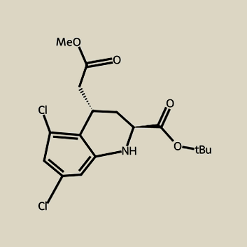 COC(=O)C[C@@H]1C[C@@H](C(=O)OC(C)(C)C)Nc2cc(Cl)cc(Cl)c21